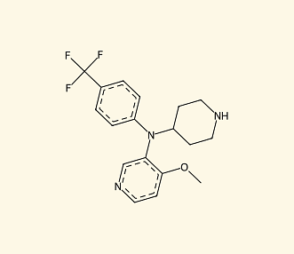 COc1ccncc1N(c1ccc(C(F)(F)F)cc1)C1CCNCC1